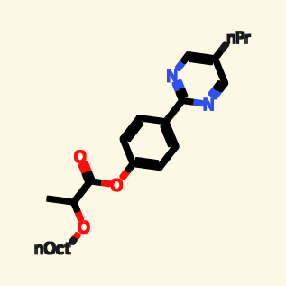 CCCCCCCCOC(C)C(=O)Oc1ccc(-c2ncc(CCC)cn2)cc1